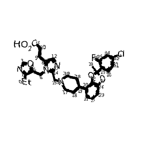 CCc1ncoc1Cn1c(/C=C/C(=O)O)cnc1CN1CCC(c2cccc3c2OC(C)(c2ccc(Cl)cc2F)O3)CC1